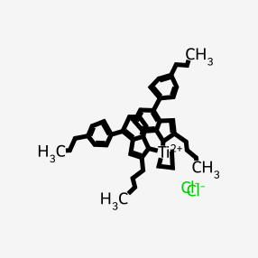 CCCCC1=Cc2c(-c3ccc(CCC)cc3)cccc2[CH]1[Ti+2]1([CH]2C(CCCC)=Cc3c(-c4ccc(CCC)cc4)cccc32)[CH2]C[CH2]1.[Cl-].[Cl-]